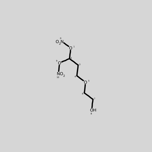 O=[N+]([O-])OC(CCOCCO)O[N+](=O)[O-]